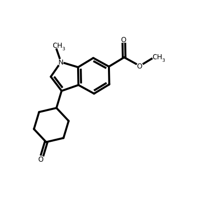 COC(=O)c1ccc2c(C3CCC(=O)CC3)cn(C)c2c1